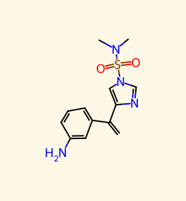 C=C(c1cccc(N)c1)c1cn(S(=O)(=O)N(C)C)cn1